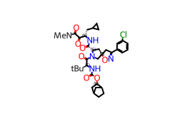 CNC(=O)C(=O)[C@H](CC1CC1)NC(=O)[C@@H]1C[C@]2(CC(c3cccc(Cl)c3)=NO2)CN1C(=O)[C@@H](NC(=O)O[C@@H]1CC2CCC1C2)C(C)(C)C